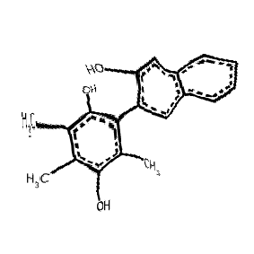 Cc1c(C)c(O)c(-c2cc3ccccc3cc2O)c(C)c1O